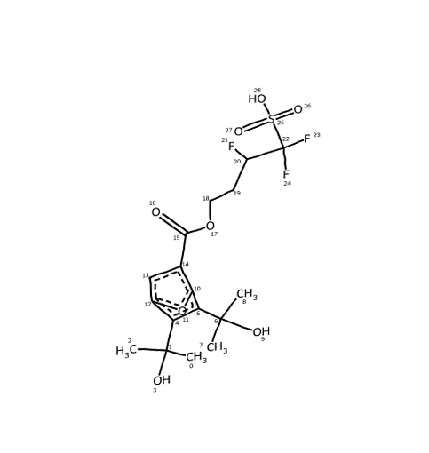 CC(C)(O)c1c(C(C)(C)O)c2oc1cc2C(=O)OCCC(F)C(F)(F)S(=O)(=O)O